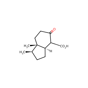 C[C@@H]1CC[C@@H]2C(C(=O)O)C(=O)CC[C@@]12C